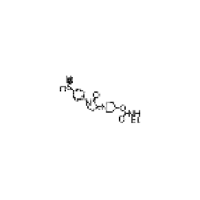 CCNC(=O)OC1CCN([C@H]2CCN(c3ccc([SH](=O)=O)cc3)C2=O)CC1